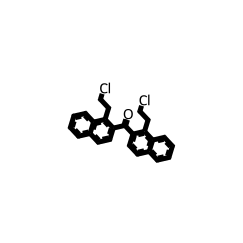 O=C(c1ccc2ccccc2c1CCCl)c1ccc2ccccc2c1CCCl